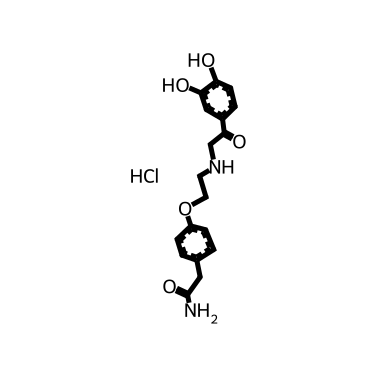 Cl.NC(=O)Cc1ccc(OCCNCC(=O)c2ccc(O)c(O)c2)cc1